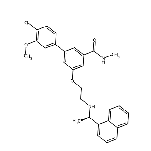 CNC(=O)c1cc(OCCN[C@H](C)c2cccc3ccccc23)cc(-c2ccc(Cl)c(OC)c2)c1